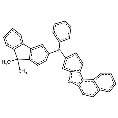 CC1(C)c2ccccc2-c2cc(N(c3ccccc3)c3ccc4c(c3)sc3ccc5ccccc5c34)ccc21